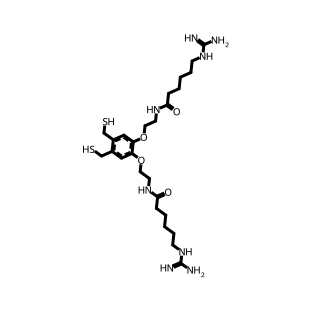 N=C(N)NCCCCCC(=O)NCCOc1cc(CS)c(CS)cc1OCCNC(=O)CCCCCNC(=N)N